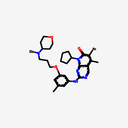 CCN(CCCOc1cc(C)cc(Nc2ncc3c(C)c(C(C)=O)c(=O)n(C4CCCC4)c3n2)c1)C1CCOCC1